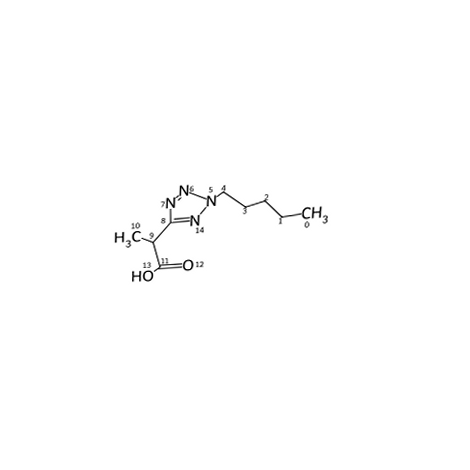 CCCCCn1nnc(C(C)C(=O)O)n1